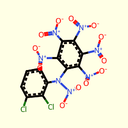 O=[N+]([O-])c1c(N(c2cccc(Cl)c2Cl)[N+](=O)[O-])c([N+](=O)[O-])c([N+](=O)[O-])c([N+](=O)[O-])c1[N+](=O)[O-]